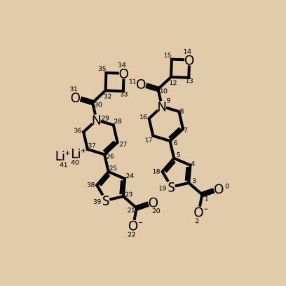 O=C([O-])c1cc(C2=CCN(C(=O)C3COC3)CC2)cs1.O=C([O-])c1cc(C2=CCN(C(=O)C3COC3)CC2)cs1.[Li+].[Li+]